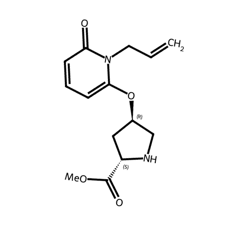 C=CCn1c(O[C@H]2CN[C@H](C(=O)OC)C2)cccc1=O